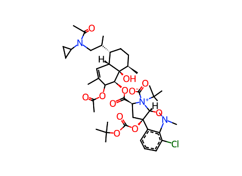 CC(=O)OC1C(C)=C[C@@H]2[C@H](C(C)CN(C(C)=O)C3CC3)CC[C@@H](C)[C@]2(O)[C@H]1OC(=O)[C@@H]1C[C@@]2(OC(=O)OC(C)(C)C)c3cccc(Cl)c3N(C)O[C@H]2[N+]1(C(=O)[O-])C(C)(C)C